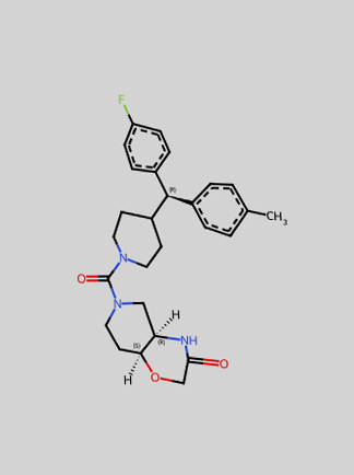 Cc1ccc([C@H](c2ccc(F)cc2)C2CCN(C(=O)N3CC[C@@H]4OCC(=O)N[C@@H]4C3)CC2)cc1